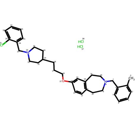 Cc1ccccc1CN1CCc2ccc(OCCCC3CCN(Cc4ccccc4Cl)CC3)cc2CC1.Cl.Cl